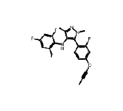 CC#COc1ccc(-c2c(Nc3c(F)cc(F)cc3F)c(C)nn2C)c(F)c1